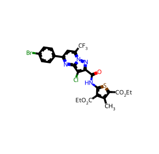 CCOC(=O)c1sc(NC(=O)c2nn3c(C(F)(F)F)cc(-c4ccc(Br)cc4)nc3c2Cl)c(C(=O)OCC)c1C